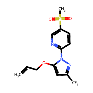 C=CCOc1cc(C(F)(F)F)nn1-c1ccc(S(C)(=O)=O)cn1